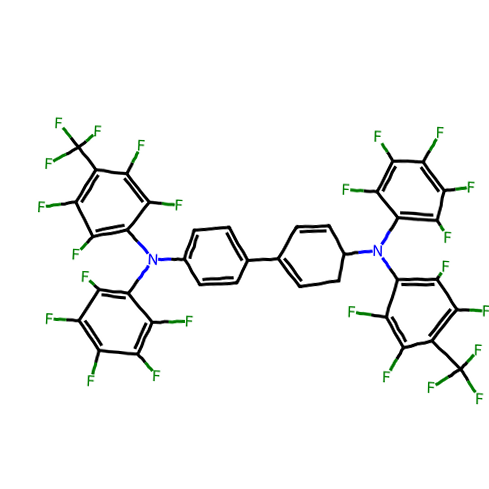 Fc1c(F)c(F)c(N(c2ccc(C3=CCC(N(c4c(F)c(F)c(F)c(F)c4F)c4c(F)c(F)c(C(F)(F)F)c(F)c4F)C=C3)cc2)c2c(F)c(F)c(C(F)(F)F)c(F)c2F)c(F)c1F